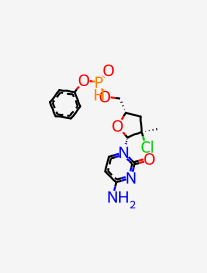 C[C@@]1(Cl)C[C@@H](CO[PH](=O)Oc2ccccc2)O[C@H]1n1ccc(N)nc1=O